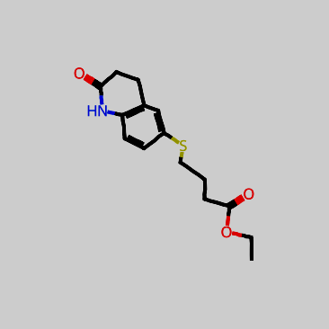 CCOC(=O)CCCSc1ccc2c(c1)CCC(=O)N2